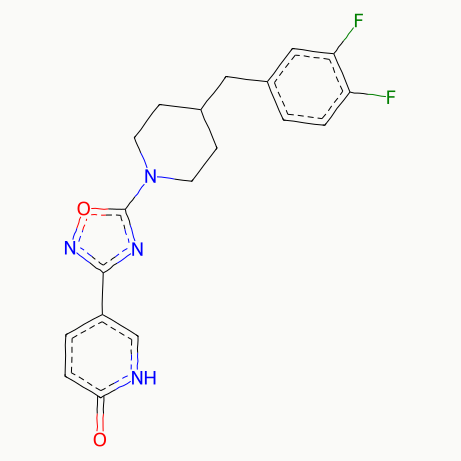 O=c1ccc(-c2noc(N3CCC(Cc4ccc(F)c(F)c4)CC3)n2)c[nH]1